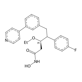 CCO[C@H](CC(=O)NO)C(Cc1cccc(-c2ccncc2)c1)c1ccc(F)cc1